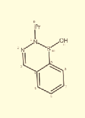 CC(C)N1N=Cc2ccccc2B1O